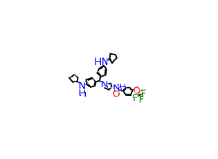 O=C(N[C@@H]1CCN(C(c2ccc(NC3CCCC3)cc2)c2ccc(NC3CCCC3)cc2)C1)c1ccc(OC(F)(F)F)cc1